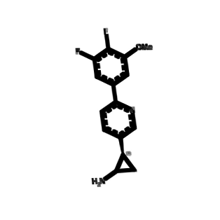 COc1cc(-c2ccc([C@H]3CC3N)cn2)cc(F)c1F